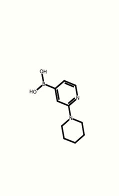 OB(O)c1ccnc(N2CCCCC2)c1